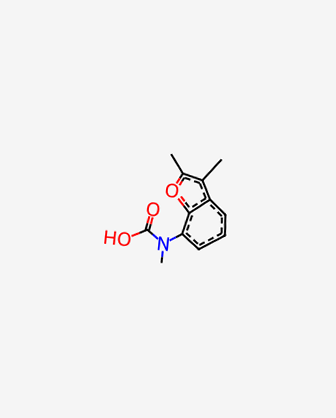 Cc1oc2c(N(C)C(=O)O)cccc2c1C